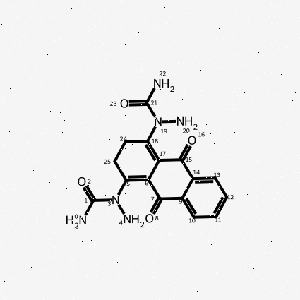 NC(=O)N(N)C1=C2C(=O)c3ccccc3C(=O)C2=C(N(N)C(N)=O)CC1